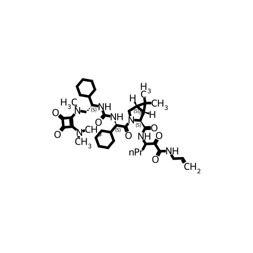 C=CCNC(=O)C(=O)C(CCC)NC(=O)[C@@H]1[C@@H]2[C@H](CN1C(=O)[C@@H](NC(=O)N[C@H](CN(C)c1c(N(C)C)c(=O)c1=O)C1CCCCC1)C1CCCCC1)C2(C)C